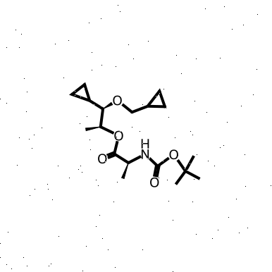 C[C@H](NC(=O)OC(C)(C)C)C(=O)O[C@@H](C)[C@H](OCC1CC1)C1CC1